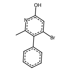 Cc1nc(O)cc(Br)c1-c1ccccc1